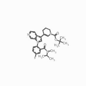 CC(C)N(C)C(=O)c1cc(F)ccc1-n1cc(C2=CN(C(=O)OC(C)(C)C)CCC2)c2ccncc21